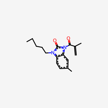 C=C(C)C(=O)n1c(=O)n(CCCCC)c2ccc(C)cc21